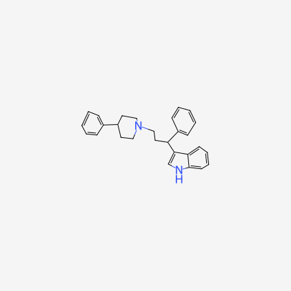 c1ccc(C2CCN(CCC(c3ccccc3)c3c[nH]c4ccccc34)CC2)cc1